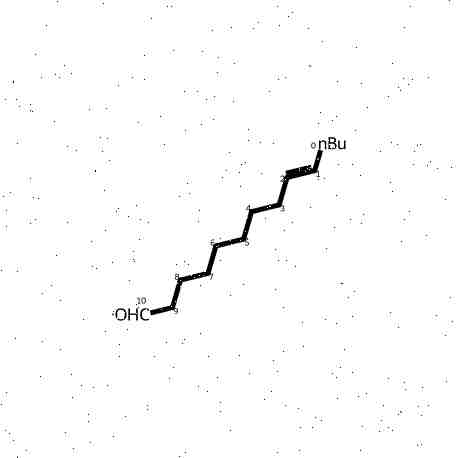 CCCC/C=C/CCCCCCC[C]=O